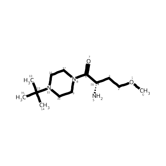 COCC[C@H](N)C(=O)N1CCN(C(C)(C)C)CC1